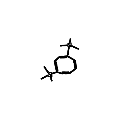 C[Si](C)(C)C1=CC=C([Si](C)(C)C)C=CC=C1